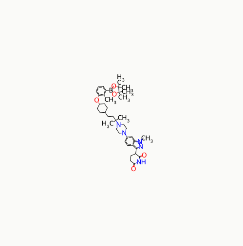 Cc1c(OC2CCC(CCC(C)(C)N3CCN(c4ccc5c(C6CCC(=O)NC6=O)nn(C)c5c4)CC3)CC2)cccc1B1OC(C)(C)C(C)(C)O1